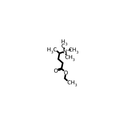 CCOC(=O)CCC(C)[N+](C)(C)C